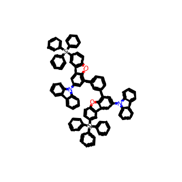 c1ccc([Si](c2ccccc2)(c2ccccc2)c2ccc3oc4c(-c5cccc(-c6cc(-n7c8ccccc8c8ccccc87)cc7c6oc6ccc([Si](c8ccccc8)(c8ccccc8)c8ccccc8)cc67)c5)cc(-n5c6ccccc6c6ccccc65)cc4c3c2)cc1